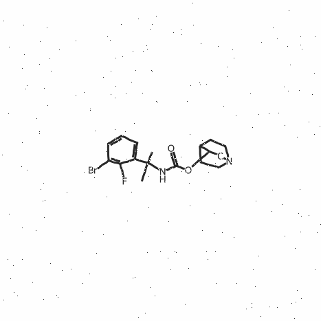 CC(C)(NC(=O)OC1CN2CCC1CC2)c1cccc(Br)c1F